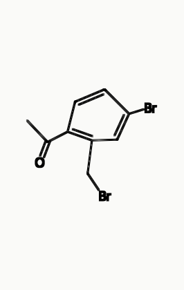 CC(=O)c1ccc(Br)cc1CBr